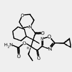 CC[C@](OC(N)=O)(C(=O)c1noc(C2CC2)n1)C(C)(C(=O)N1CCOCC1)C1CCCCC1